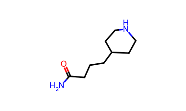 NC(=O)CCCC1CCNCC1